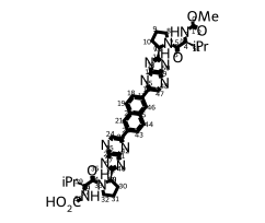 COC(=O)N[C@H](C(=O)N1CCC[C@@H]1c1nc2nc(-c3ccc4cc(-c5cnc6[nH]c([C@H]7CCCN7C(=O)[C@@H](NC(=O)O)C(C)C)nc6n5)ccc4c3)cnc2[nH]1)C(C)C